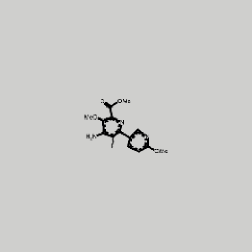 COC(=O)c1nc(-c2ccc(OC)nc2)c(F)c(N)c1OC